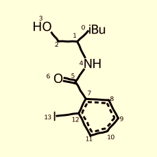 CCC(C)C(CO)NC(=O)c1ccccc1I